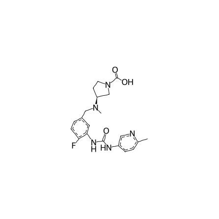 Cc1ccc(NC(=O)Nc2cc(CN(C)[C@H]3CCN(C(=O)O)C3)ccc2F)cn1